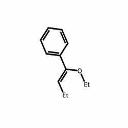 CCC=C(OCC)c1ccccc1